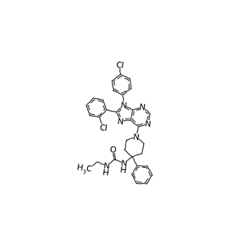 CCNC(=O)NC1(c2ccccc2)CCN(c2ncnc3c2nc(-c2ccccc2Cl)n3-c2ccc(Cl)cc2)CC1